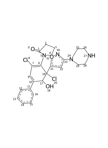 O=C1CCCN1C1=C(Cl)C=C(c2ccccc2)C(O)C1(Cl)c1cc(N2CCNCC2)no1